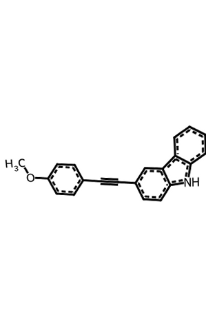 COc1ccc(C#Cc2ccc3[nH]c4ccccc4c3c2)cc1